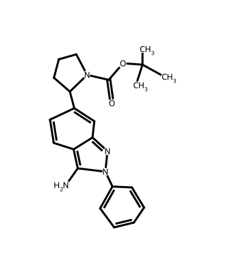 CC(C)(C)OC(=O)N1CCCC1c1ccc2c(N)n(-c3ccccc3)nc2c1